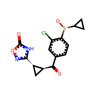 O=C(c1ccc([S+]([O-])C2CC2)c(Cl)c1)[C@H]1C[C@@H]1c1noc(=O)[nH]1